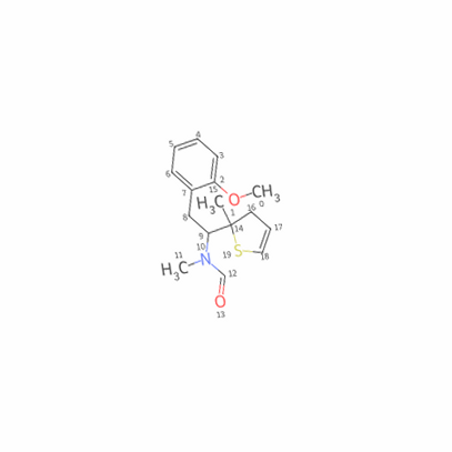 COc1ccccc1CC(N(C)C=O)C1(C)CC=CS1